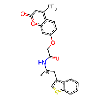 C[C@H](Cc1csc2ccccc12)NC(=O)COc1ccc2c(C(F)(F)F)cc(=O)oc2c1